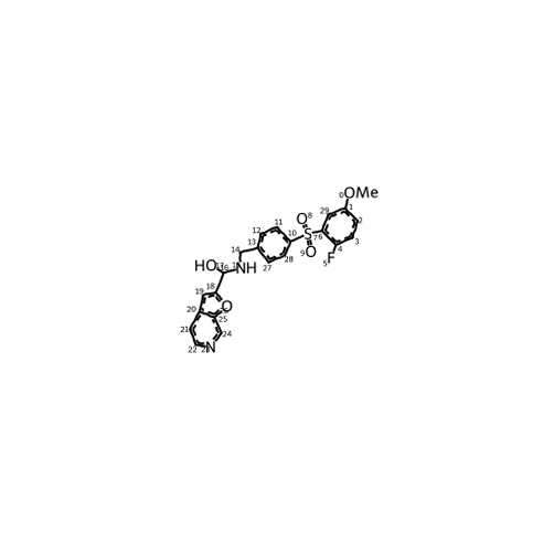 COc1ccc(F)c(S(=O)(=O)c2ccc(CNC(O)c3cc4ccncc4o3)cc2)c1